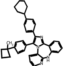 CC1(c2ccc(-c3c(-c4ccc(C5CCCCC5)cc4)nc4n3-c3cccnc3Nc3ccccc3-4)cc2)CCC1